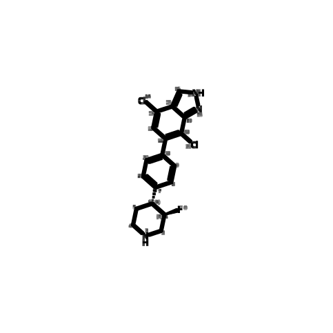 F[C@H]1CNCC[C@@H]1c1ccc(-c2cc(Cl)c3c[nH]nc3c2Cl)cc1